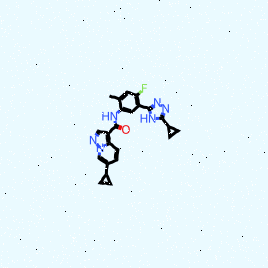 Cc1cc(F)c(-c2nnc(C3CC3)[nH]2)cc1NC(=O)c1cnn2cc(C3CC3)ccc12